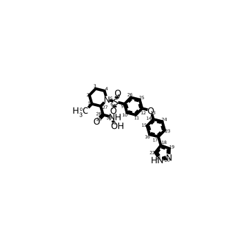 CC1CCCN(S(=O)(=O)c2ccc(Oc3ccc(-c4cn[nH]c4)cc3)cc2)C1C(=O)NO